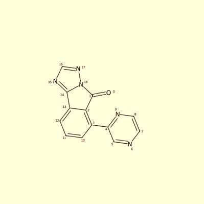 O=C1c2c(-c3cnccn3)cccc2-c2ncnn21